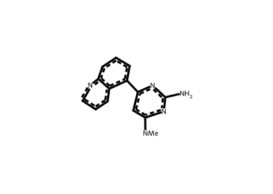 CNc1cc(-c2cccc3ncccc23)nc(N)n1